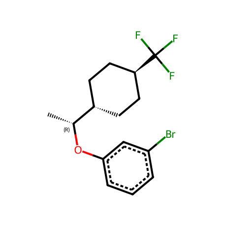 C[C@@H](Oc1cccc(Br)c1)[C@H]1CC[C@H](C(F)(F)F)CC1